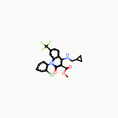 COC(=O)c1c(NCC2CC2)c2ccc(C(F)(F)F)cc2n(-c2ccccc2Cl)c1=O